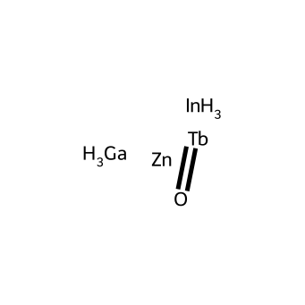 [GaH3].[InH3].[O]=[Tb].[Zn]